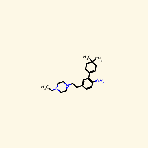 CCN1CCN(CCc2ccc(N)c(C3=CCC(C)(C)CC3)c2)CC1